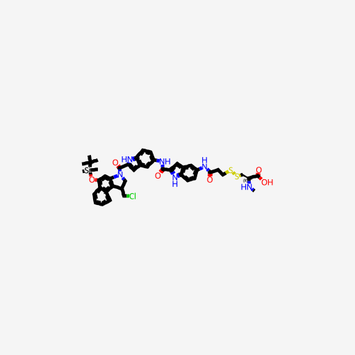 CN[C@@H](CSSCCC(=O)Nc1ccc2[nH]c(C(=O)Nc3ccc4[nH]c(C(=O)N5CC(CCl)c6c5cc(O[Si](C)(C)C(C)(C)C)c5ccccc65)cc4c3)cc2c1)C(=O)O